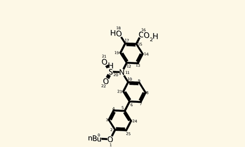 CCCCOc1ccc(-c2cccc(N(c3ccc(C(=O)O)c(O)c3)[SH](=O)=O)c2)cc1